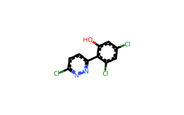 Oc1cc(Cl)cc(Cl)c1-c1ccc(Cl)nn1